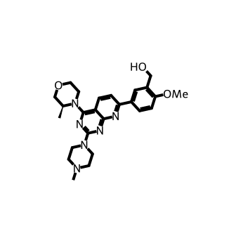 COc1ccc(-c2ccc3c(N4CCOC[C@@H]4C)nc(N4CCN(C)CC4)nc3n2)cc1CO